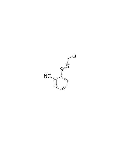 [Li][CH2]SSc1ccccc1C#N